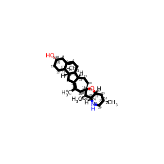 CC1=C2C[C@H]3C(CC=C4C[C@@H](O)CC[C@@]43C)[C@@H]2CC[C@@]2(C1)O[C@@H]1C[C@H](C)CN[C@H]1[C@H]2C